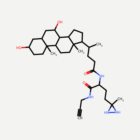 C#CCNC(=O)C(CCC1(C)NN1)NC(=O)CCC(C)C1CCC2C3C(O)CC4CC(O)CCC4(C)C3CCC12C